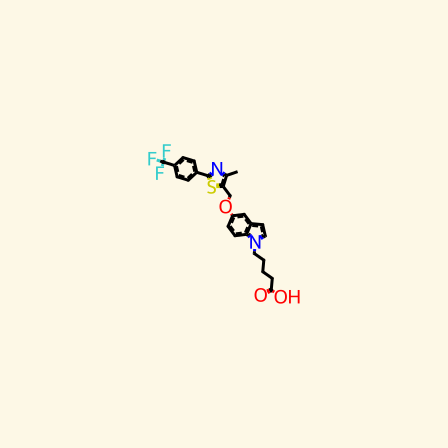 Cc1nc(-c2ccc(C(F)(F)F)cc2)sc1COc1ccc2c(ccn2CCCCC(=O)O)c1